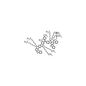 CCCCCCCCC1(CCCCCCCC)c2cc(N(c3ccc4c(c3)C(CCCCCCC)(CCCCCCC)c3c5c(c6c(oc7ccccc76)c3-4)-c3ccccc3C5(CCCCCCC)CCCCCCC)c3ccc(C)cc3C)ccc2-c2cc3c(cc21)-c1c(ccc2oc4ccccc4c12)C3(CCCCCCCC)CCCCCCCC